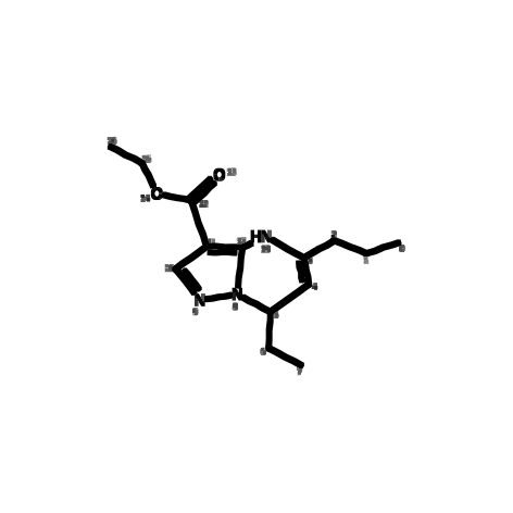 CCCC1=CC(CC)n2ncc(C(=O)OCC)c2N1